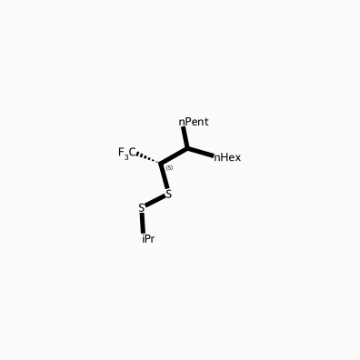 CCCCCCC(CCCCC)[C@H](SSC(C)C)C(F)(F)F